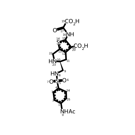 CC(=O)Nc1ccc(S(=O)(=O)NC[C@@H]2Cc3c(sc(NC(=O)C(=O)O)c3C(=O)O)CN2)cc1